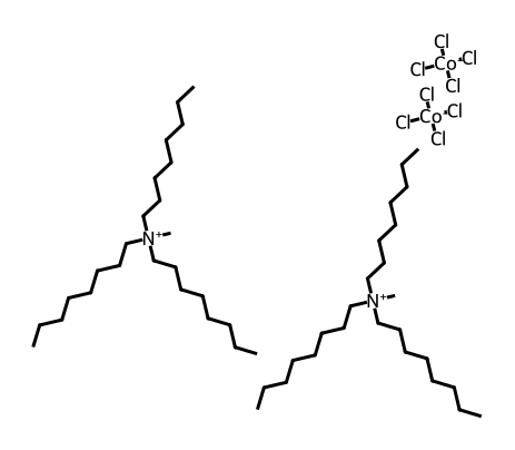 CCCCCCCC[N+](C)(CCCCCCCC)CCCCCCCC.CCCCCCCC[N+](C)(CCCCCCCC)CCCCCCCC.[Cl][Co-]([Cl])([Cl])[Cl].[Cl][Co-]([Cl])([Cl])[Cl]